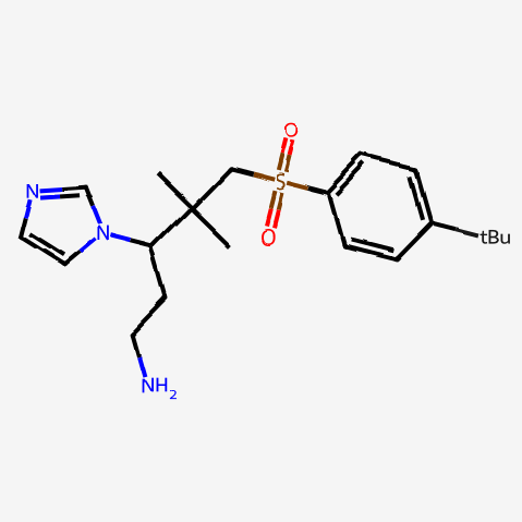 CC(C)(C)c1ccc(S(=O)(=O)CC(C)(C)C(CCN)n2ccnc2)cc1